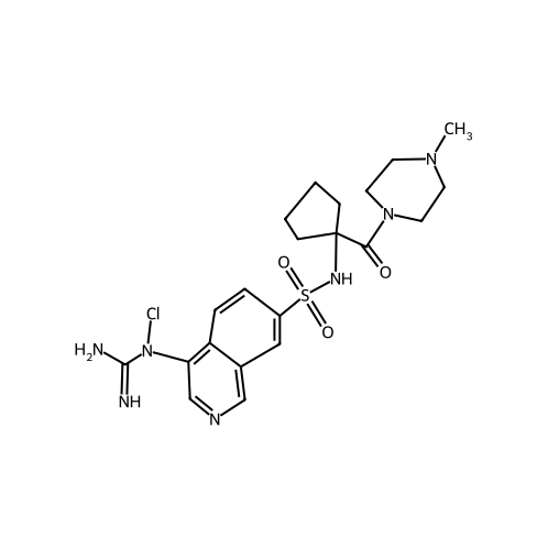 CN1CCN(C(=O)C2(NS(=O)(=O)c3ccc4c(N(Cl)C(=N)N)cncc4c3)CCCC2)CC1